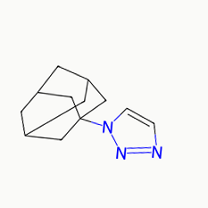 c1cn(C23CC4CC(CC(C4)C2)C3)nn1